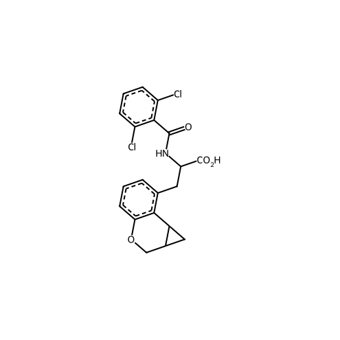 O=C(NC(Cc1cccc2c1C1CC1CO2)C(=O)O)c1c(Cl)cccc1Cl